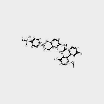 COc1cnc(Cl)cc1-c1cc(C)ncc1C(=O)Nc1ccc2c(n1)CC[SH](c1ccc(P(C)(C)=O)cc1)C2